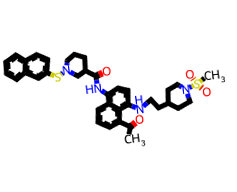 CC(=O)c1cccc2c(NC(=O)C3CCCN(Sc4ccc5ccccc5c4)C3)ccc(NCCC3CCN(S(C)(=O)=O)CC3)c12